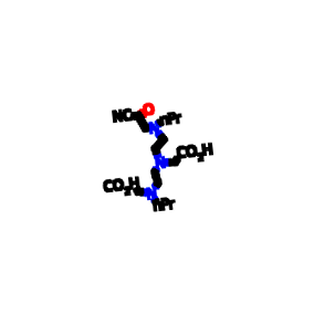 CCCN(CCN(CCN(CCC)CC(=O)C#N)CC(=O)O)CC(=O)O